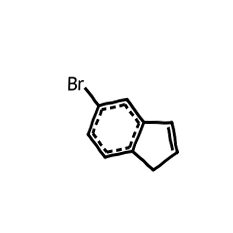 Brc1ccc2c(c1)C=CC2